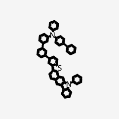 c1ccc(-c2ccc(N(c3ccccc3)c3cccc(-c4cccc(-c5ccc6sc7c8cc9c(cc8ccc7c6c5)c5ccccc5n9-c5ccccc5)c4)c3)cc2)cc1